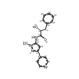 CCn1nc(-c2ccncc2)cc1NC(=O)C(O)Cc1ccccc1